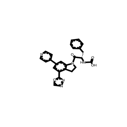 O=C(O)N[C@@H](Cc1ccccc1)C(=O)N1CCc2c(-c3nnco3)cc(-c3ccncc3)cc21